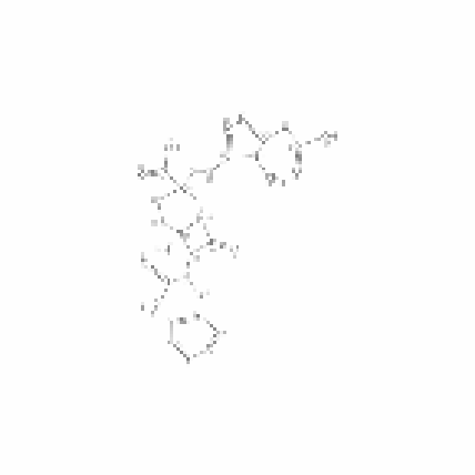 CC(=O)N(Oc1ccccc1)C1C(=O)N2CC(CSc3nnc(CC(=O)O)n3C)(C(=O)O)CS[C@H]12